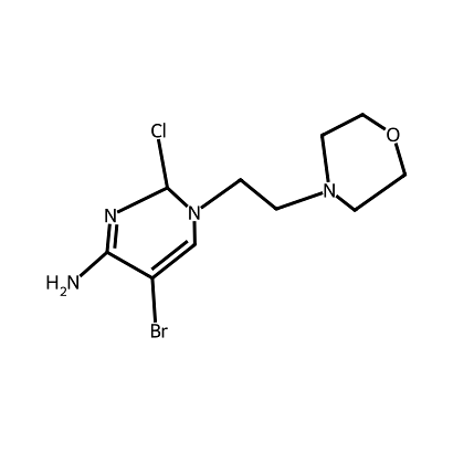 NC1=NC(Cl)N(CCN2CCOCC2)C=C1Br